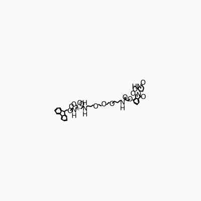 O=C(COc1cccc2c1C(=O)N(C1CCC(=O)NC1=O)C2=O)NCCCOCCOCCOCCCNC(=O)C[C@H](NC(=O)OCC1c2ccccc2-c2ccccc21)C(=O)O